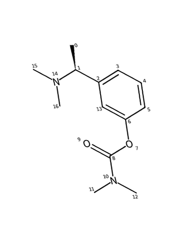 C[C@@H](c1cccc(OC(=O)N(C)C)c1)N(C)C